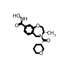 C[C@H]1COc2cc(C(=O)NO)ccc2CN1C(=O)[C@H]1CCCOC1